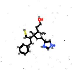 CC(C)C(CCO)C(C)(CCc1c[nH]cn1)[C](C=S)Cc1ccccc1